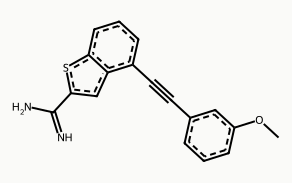 COc1cccc(C#Cc2cccc3sc(C(=N)N)cc23)c1